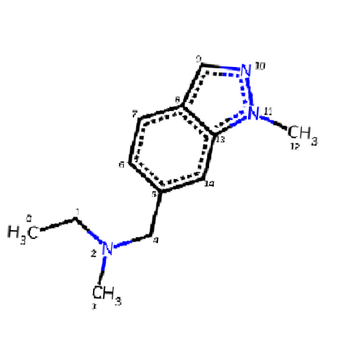 CCN(C)Cc1ccc2cnn(C)c2c1